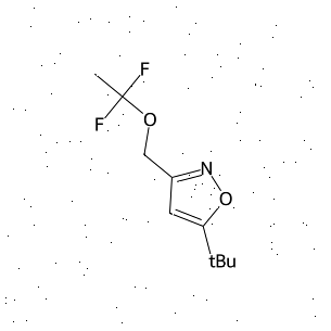 CC(F)(F)OCc1cc(C(C)(C)C)on1